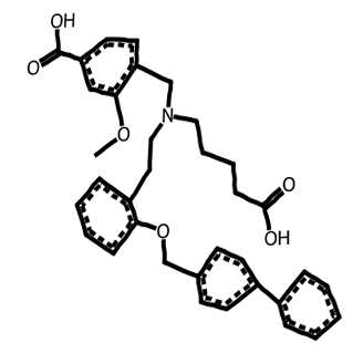 COc1cc(C(=O)O)ccc1CN(CCCCC(=O)O)CCc1ccccc1OCc1ccc(-c2ccccc2)cc1